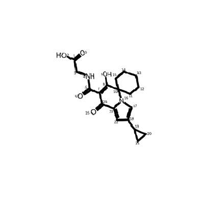 O=C(O)CNC(=O)C1=C(O)C2(CCCCC2)n2cc(C3CC3)cc2C1=O